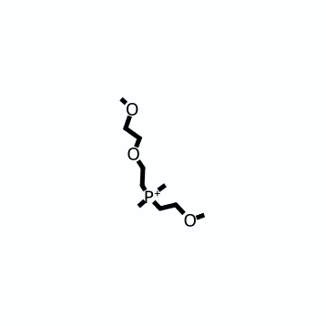 COCCOCC[P+](C)(C)CCOC